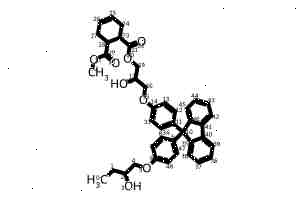 CCC(O)COc1ccc(C2(c3ccc(OCC(O)COC(=O)C4CC=CCC4C(=O)OC)cc3)c3ccccc3-c3ccccc32)cc1